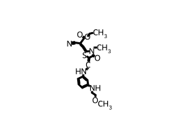 CCOC(=O)C(=C=c1sc(=C=CNc2cccc(NCCOC)c2)c(=O)n1CC)C#N